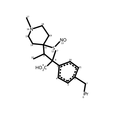 CC(C)Cc1ccc(C(C)(C(=O)O)C(C)C2(SN=O)CCN(C)CC2)cc1